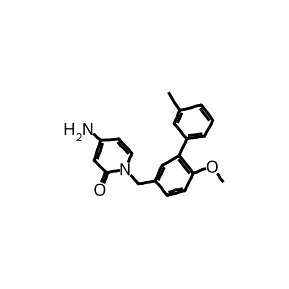 COc1ccc(Cn2ccc(N)cc2=O)cc1-c1cccc(C)c1